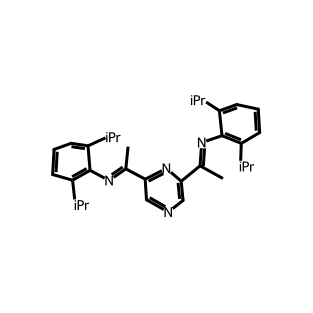 CC(=Nc1c(C(C)C)cccc1C(C)C)c1cncc(C(C)=Nc2c(C(C)C)cccc2C(C)C)n1